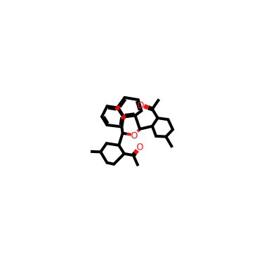 CC(=O)C1CCC(C)CC1C(OC(c1ccccc1)C1CC(C)CCC1C(C)=O)c1ccccc1